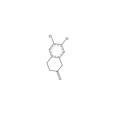 O=C1CCc2cc(Cl)c(Cl)cc2C1